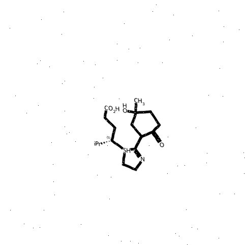 CC(C)[C@H](CCC(=O)O)[SH]1CCN=C1C1CC(C)(O)CCC1=O